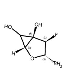 B[C@@H]1O[C@@H]2C(O)[C@]2(O)[C@H]1F